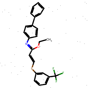 CCOC(C=CSc1cccc(C(F)(F)F)c1)=Nc1ccc(-c2ccccc2)cc1